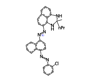 CCCC1(C)Nc2cccc3ccc(/N=N/c4ccc(N=Nc5ccccc5Cl)c5ccccc45)c(c23)N1